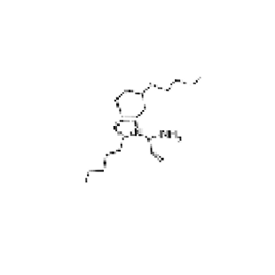 C=CC(N)n1c(CCCCC)cc2c1CC(CCCCC)CC2